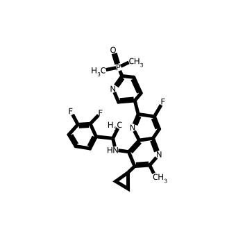 Cc1nc2cc(F)c(-c3ccc(P(C)(C)=O)nc3)nc2c(NC(C)c2cccc(F)c2F)c1C1CC1